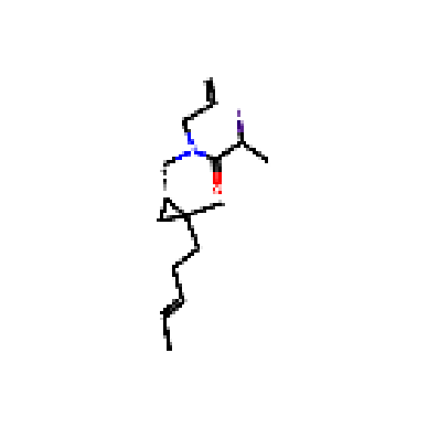 C=CCN(C[C@H]1CC1(C)CC/C=C/C)C(=O)C(C)I